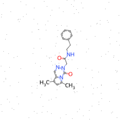 Cc1cc(C)n2c(=O)n(CC(=O)NCCc3ccccc3)ncc12